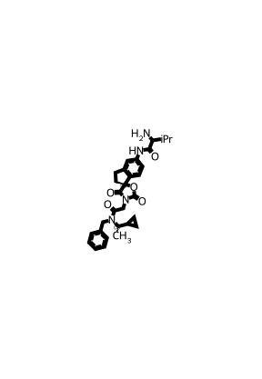 CC(C)C(N)C(=O)Nc1ccc2c(c1)CC[C@]21OC(=O)N(CC(=O)N(Cc2ccccc2)[C@@H](C)C2CC2)C1=O